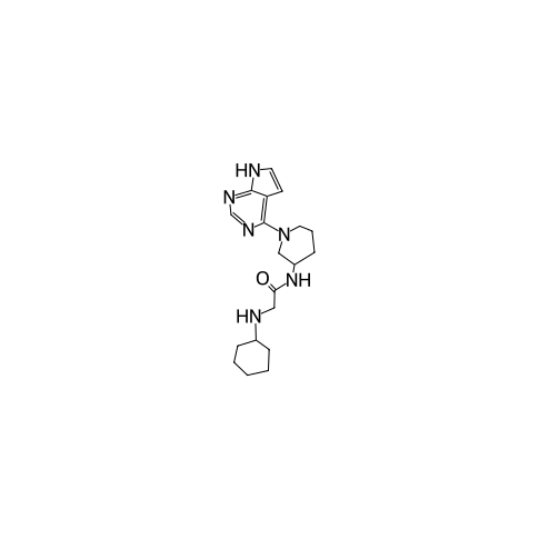 O=C(CNC1CCCCC1)NC1CCCN(c2ncnc3[nH]ccc23)C1